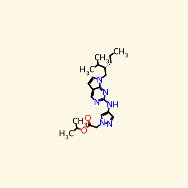 CCC[C@H](Cn1ccc2cnc(Nc3cnn(CC(=O)OC(C)C)c3)nc21)C(C)C